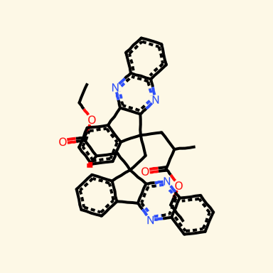 CCOC(=O)C(C)CC1(CC2(CC(C)C(=O)OCC)c3ccccc3-c3nc4ccccc4nc32)c2ccccc2-c2nc3ccccc3nc21